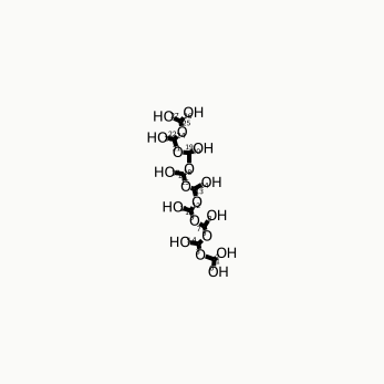 OC(O)OC(O)OC(O)OC(O)OC(O)OC(O)OC(O)OC(O)OC(O)O